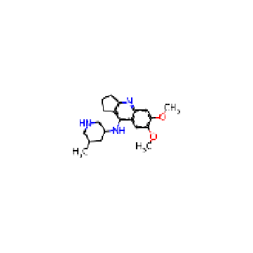 COc1cc2nc3c(c(NC4CNCC(C)C4)c2cc1OC)CCC3